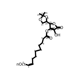 CCCCCCCC/C=C\CCCCCCCC(=O)OC1=C(O)C(=O)OC1C1COC(C)(C)O1